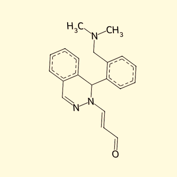 CN(C)Cc1ccccc1C1c2ccccc2C=NN1C=CC=O